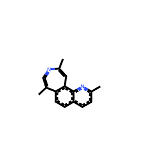 CC1=C=NC(C)=Cc2c1ccc1ccc(C)nc21